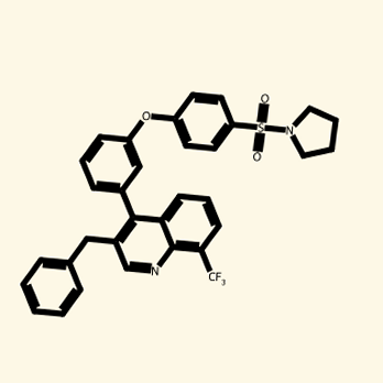 O=S(=O)(c1ccc(Oc2cccc(-c3c(Cc4ccccc4)cnc4c(C(F)(F)F)cccc34)c2)cc1)N1CCCC1